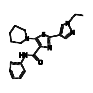 CCn1cc(-c2nc(C(=O)Nc3ccccc3)c(N3CCCCC3)s2)cn1